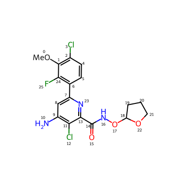 COc1c(Cl)ccc(-c2cc(N)c(Cl)c(C(=O)NOC3CCCO3)n2)c1F